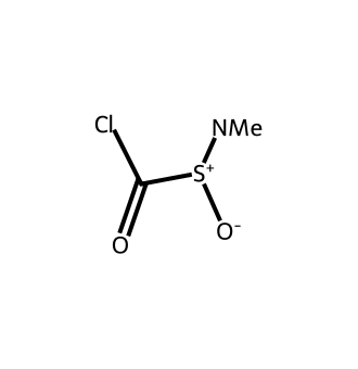 CN[S+]([O-])C(=O)Cl